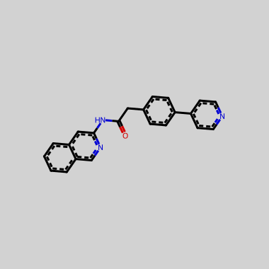 O=C(Cc1ccc(-c2ccncc2)cc1)Nc1cc2ccccc2cn1